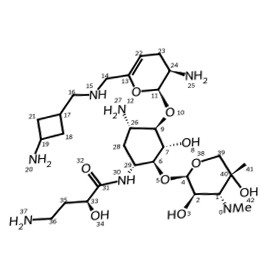 CN[C@@H]1[C@@H](O)[C@@H](O[C@@H]2[C@@H](O)[C@H](O[C@H]3OC(CNCC4CC(N)C4)=CC[C@H]3N)[C@@H](N)C[C@H]2NC(=O)[C@@H](O)CCN)OC[C@]1(C)O